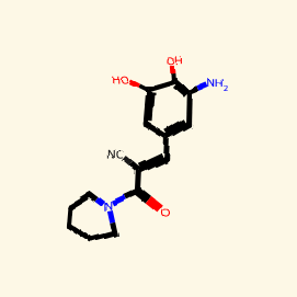 N#C/C(=C\c1cc(N)c(O)c(O)c1)C(=O)N1CCCCC1